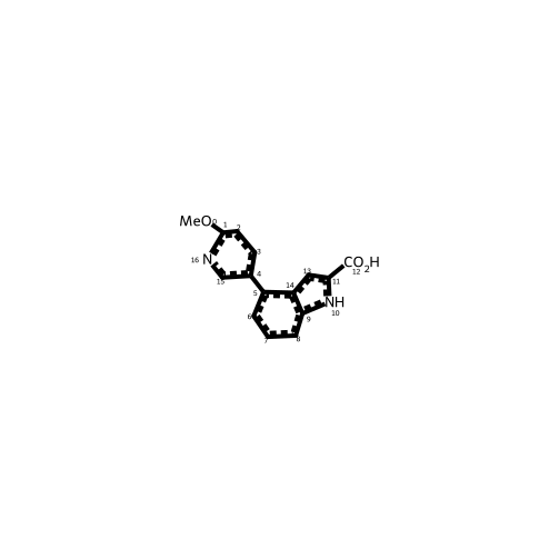 COc1ccc(-c2cccc3[nH]c(C(=O)O)cc23)cn1